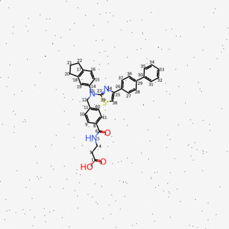 O=C(O)CCNC(=O)c1ccc(CN(c2ccc3c(c2)CCC3)c2nc(-c3ccc(-c4ccccc4)cc3)cs2)cc1